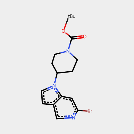 CC(C)(C)OC(=O)N1CCC(n2ccc3cnc(Br)cc32)CC1